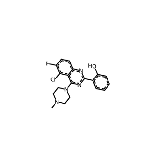 CN1CCN(c2nc(-c3ccccc3O)nc3ccc(F)c(Cl)c23)CC1